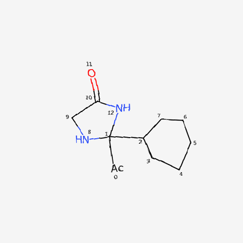 CC(=O)C1(C2CCCCC2)NCC(=O)N1